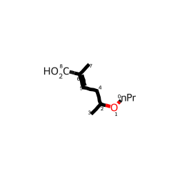 CCCOC(C)CC=C(C)C(=O)O